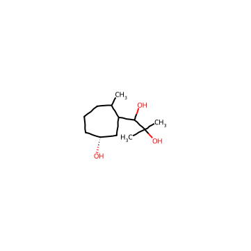 CC1CCC[C@@H](O)CC1C(O)C(C)(C)O